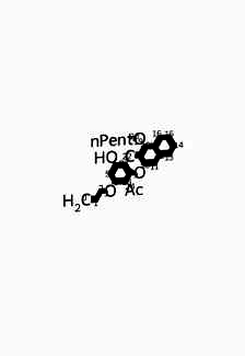 C=CCOc1cccc(Oc2cc3ccccc3c(OCCCCC)c2C(=O)O)c1C(C)=O